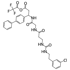 O=C(CCNC(=O)NCCc1cccc(Cl)c1)NCC(=O)NC(CC(=O)OC(=O)C(F)(F)F)c1ccc(-c2ccccc2)cc1